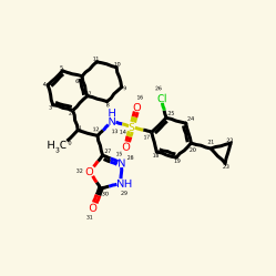 CC(c1cccc2c1CCCC2)C(NS(=O)(=O)c1ccc(C2CC2)cc1Cl)c1n[nH]c(=O)o1